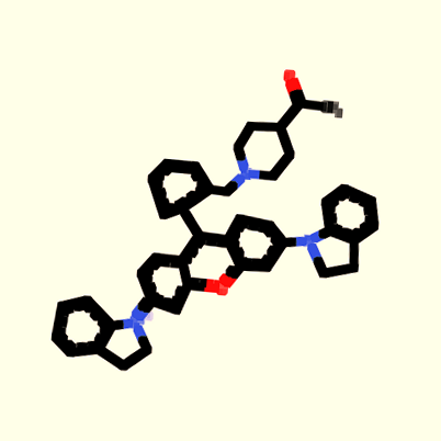 CC(=O)C1CCN(Cc2ccccc2-c2c3cc/c(=[N+]4/CCc5ccccc54)cc-3oc3cc(N4CCc5ccccc54)ccc23)CC1